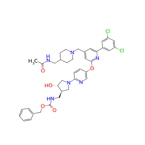 CC(=O)NCC1CCN(Cc2cc(Oc3ccc(N4C[C@@H](CNC(=O)OCc5ccccc5)[C@H](O)C4)nc3)nc(-c3cc(Cl)cc(Cl)c3)c2)CC1